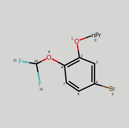 CCCOc1cc(Br)ccc1OC(F)F